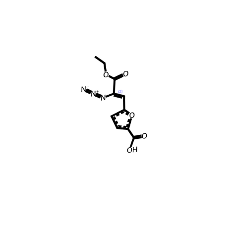 CCOC(=O)/C(=C/c1ccc(C(=O)O)o1)N=[N+]=[N-]